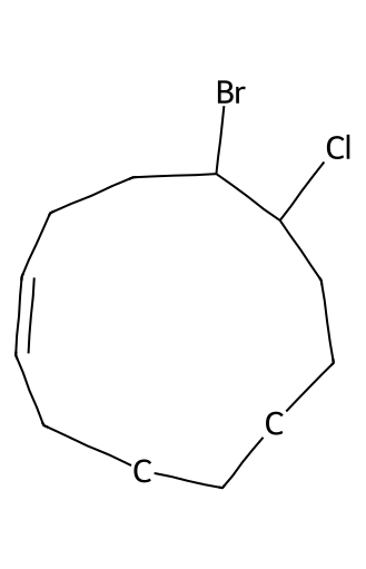 ClC1CCCCCC/C=C\CCC1Br